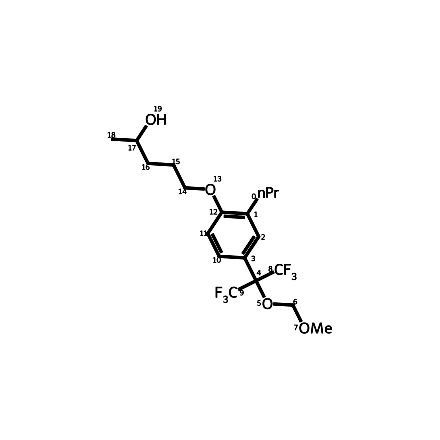 CCCc1cc(C(OCOC)(C(F)(F)F)C(F)(F)F)ccc1OCCCC(C)O